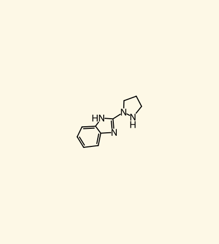 c1ccc2[nH]c(N3CCCN3)nc2c1